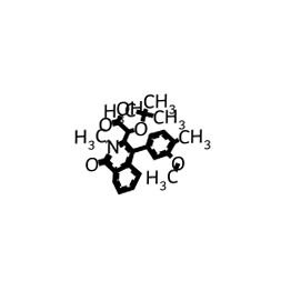 COc1cc(-c2c(C(OC(C)(C)C)C(=O)O)n(C)c(=O)c3ccccc23)ccc1C